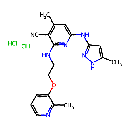 Cc1cc(Nc2cc(C)c(C#N)c(NCCOc3cccnc3C)n2)n[nH]1.Cl.Cl